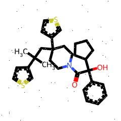 CC(C)([CH]C1(c2ccsc2)CCN(C(=O)C(O)(c2ccccc2)C2CCCC2)CC1)c1ccsc1